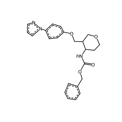 O=C(NC1CCOCC1COc1ccc(-n2cccn2)cc1)OCc1ccccc1